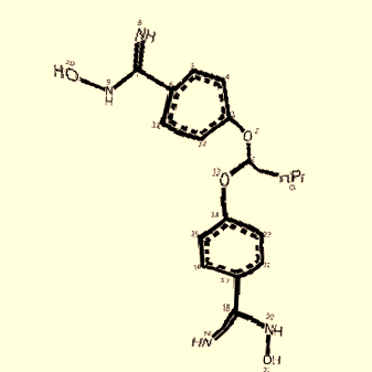 CCCC(Oc1ccc(C(=N)NO)cc1)Oc1ccc(C(=N)NO)cc1